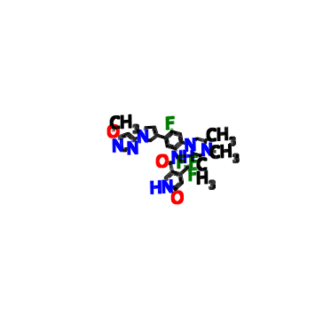 COc1cc(N2CC=C(c3cc(NC(=O)c4c[nH]c(=O)cc4C(F)(F)F)c(N4CC(C)N(C)C(C)C4)cc3F)C2)ncn1